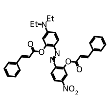 CCN(CC)c1ccc(N=Nc2ccc([N+](=O)[O-])cc2OC(=O)C=Cc2ccccc2)c(OC(=O)C=Cc2ccccc2)c1